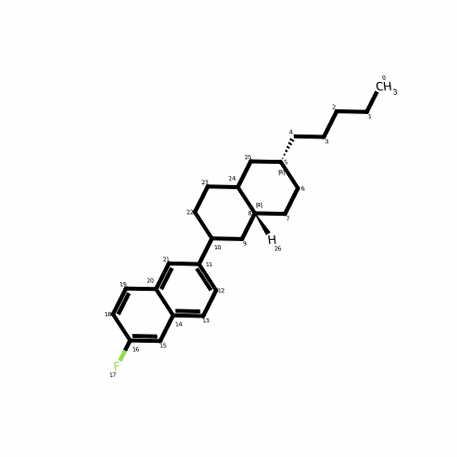 CCCCC[C@@H]1CC[C@@H]2CC(c3ccc4cc(F)ccc4c3)CCC2C1